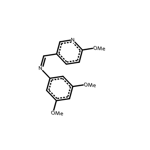 COc1cc(/N=C\c2ccc(OC)nc2)cc(OC)c1